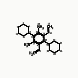 C=Cc1c(N)c(C2CCCCC2)c(N)c(C=C)c1C1CCCCC1